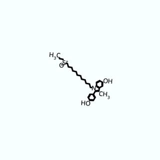 CCC[S+]([O-])CCCCCCCCCCCCn1c(-c2ccc(O)cc2)c(C)c2cc(O)ccc21